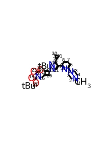 CN1CCN(c2cccc(-c3cn(C4CC(CN(C(=O)OC(C)(C)C)C(=O)OC(C)(C)C)C4)nc3C3CC3)n2)CC1